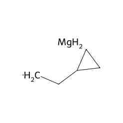 [CH2]CC1CC1.[MgH2]